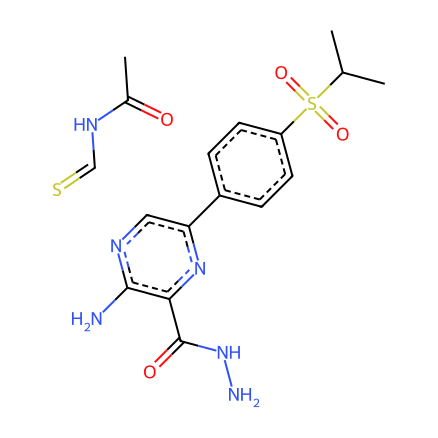 CC(=O)NC=S.CC(C)S(=O)(=O)c1ccc(-c2cnc(N)c(C(=O)NN)n2)cc1